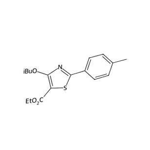 CCOC(=O)c1sc(-c2ccc(C)cc2)nc1OCC(C)C